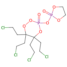 O=P1(OP2(=O)OOC(CCCl)(CCCl)C(CCCl)(CCCl)O2)OCCO1